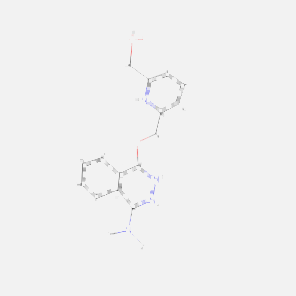 CN(C)c1nnc(OCc2cccc(CO)n2)c2ccccc12